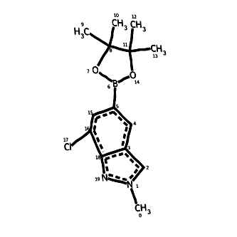 Cn1cc2cc(B3OC(C)(C)C(C)(C)O3)cc(Cl)c2n1